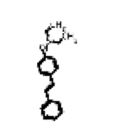 CC[SiH](CC)Oc1ccc(C=Cc2ccccc2)cc1